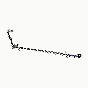 CCCCCCCCCCCCCCCCCC(=O)OCCCOP(=O)(O)OCCNC(=O)CCOCCOCCOCCOCCOCCOCCOCCOCCOCCOCCOCCOCCNC(=O)/C=C(C)/C=C/C=C(C)/C=C/C1=C(C)CCCC1(C)C